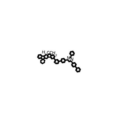 CC1(C)c2ccc(-c3cccc(-c4ccc(-c5cc(-c6ccc(-c7ccccc7)cc6)nc(-c6ccccc6)n5)cc4)c3)cc2-c2cc3c(cc21)-c1ccccc1C31CCCCC1